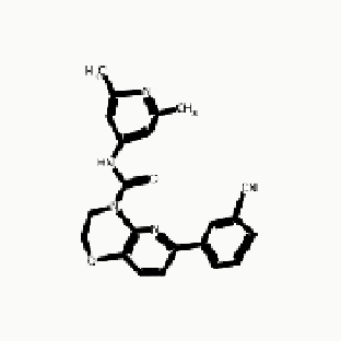 Cc1cc(NC(=O)N2CCOc3ccc(-c4cccc(C#N)c4)nc32)cc(C)n1